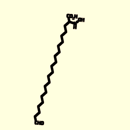 O=CCCCCCCCCCCCCCCCCCCCC(NO)C(=O)O